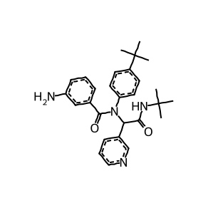 CC(C)(C)NC(=O)C(c1cccnc1)N(C(=O)c1cccc(N)c1)c1ccc(C(C)(C)C)cc1